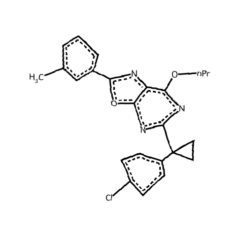 CCCOc1nc(C2(c3ccc(Cl)cc3)CC2)nc2oc(-c3cccc(C)c3)nc12